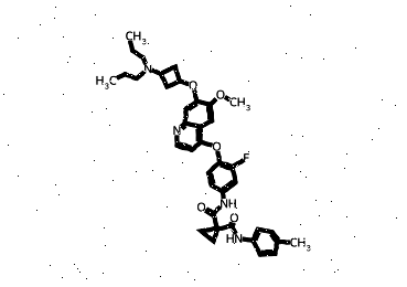 CCCN(CCC)C1CC(Oc2cc3nccc(Oc4ccc(NC(=O)C5(C(=O)Nc6ccc(C)cc6)CC5)cc4F)c3cc2OC)C1